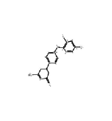 O=C1C=C(O)CC(c2ccc(Oc3ncc(C(F)(F)F)cc3F)cc2)C1